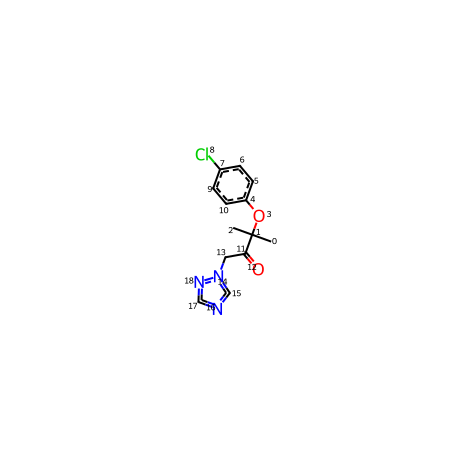 CC(C)(Oc1ccc(Cl)cc1)C(=O)Cn1cncn1